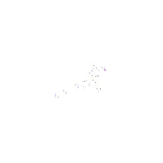 COc1cc(N2CCC(N3CCN(C)CC3)CC2)ccc1Nc1cc(N2CCCO2)ncn1